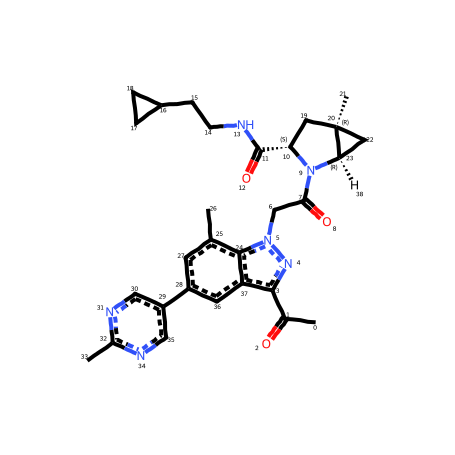 CC(=O)c1nn(CC(=O)N2[C@H](C(=O)NCCC3CC3)C[C@@]3(C)C[C@@H]23)c2c(C)cc(-c3cnc(C)nc3)cc12